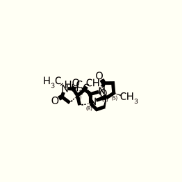 C[C@H]1CC(=O)N2C3C(C)(C)[C@@]4(CC(=O)N(C)C4=O)C[C@]34CC[C@]12C(=O)N4C